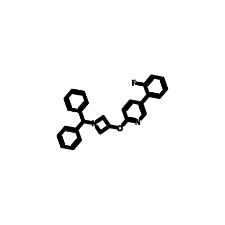 Fc1ccccc1-c1ccc(OC2CN(C(c3ccccc3)c3ccccc3)C2)nc1